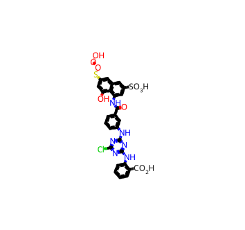 O=C(Nc1cc(S(=O)(=O)O)cc2cc(SOOO)cc(O)c12)c1cccc(Nc2nc(Cl)nc(Nc3ccccc3C(=O)O)n2)c1